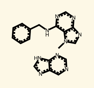 Cn1cnc2ncnc(NCc3ccccc3)c21.c1ncc2nc[nH]c2n1